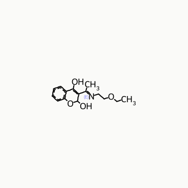 CCOCC/N=C(\C)C1=C(O)c2ccccc2OC1O